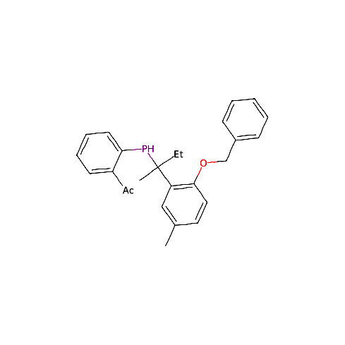 CCC(C)(Pc1ccccc1C(C)=O)c1cc(C)ccc1OCc1ccccc1